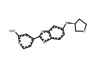 O=Cc1cc(-c2nc3ccc(O[C@H]4CCOC4)cc3o2)ccn1